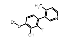 CCOc1ccc(-c2cnccc2C)c(F)c1O